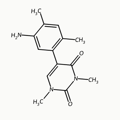 Cc1cc(C)c(-c2cn(C)c(=O)n(C)c2=O)cc1N